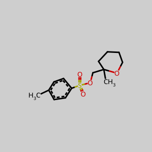 Cc1ccc(S(=O)(=O)OCC2(C)CCCCO2)cc1